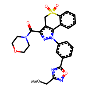 COCc1noc(-c2cccc(-n3nc(C(=O)N4CCOCC4)c4c3-c3ccccc3S(=O)(=O)C4)c2)n1